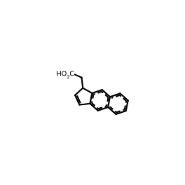 O=C(O)CC1C=Cc2cc3ccccc3cc21